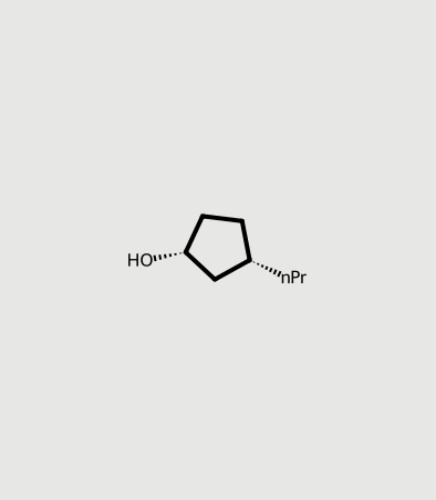 CCC[C@H]1CC[C@@H](O)C1